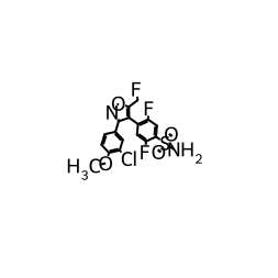 COc1ccc(-c2noc(CF)c2-c2cc(F)c(S(N)(=O)=O)cc2F)cc1Cl